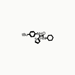 CC(C)(C)c1ccc(NC(C(=O)NC2CCCCC2)c2cccs2)cc1